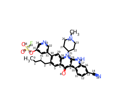 CCCCc1cc2c(=O)c3c4ccc(C#N)cc4[nH]c3n(C3CCN(C)CC3)c2cc1-c1cncc(OS(=O)(=O)F)c1